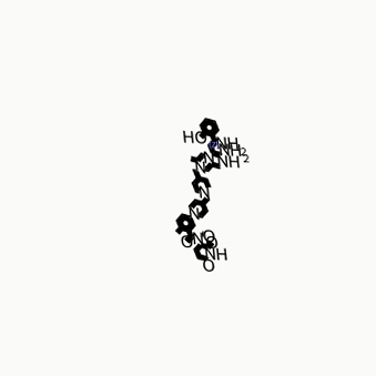 Cc1ccc(N2CCC(CN3CCC(CN4CC5CNC(N)=C(/C=C(\N)c6ccccc6O)N5CC4C)CC3)CC2)cc1C(=O)N(C=O)C1CCC(=O)NC1=O